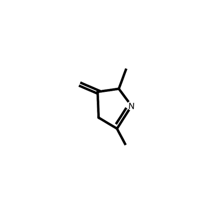 C=C1CC(C)=NC1C